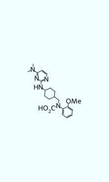 COc1ccccc1N(CC1CCC(Nc2nccc(N(C)C)n2)CC1)C(=O)O